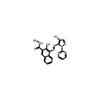 CC(C)(C)NC(=O)c1cc2ccccc2c(/N=N/c2c(C#N)cnn2-c2ncccn2)c1O